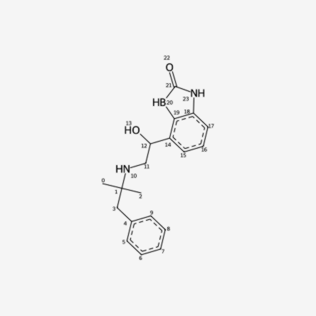 CC(C)(Cc1ccccc1)NCC(O)c1cccc2c1BC(=O)N2